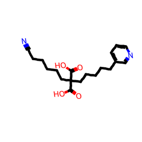 N#CCCCCCC(CCCCCc1cccnc1)(C(=O)O)C(=O)O